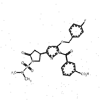 CN(C)S(=O)(=O)N1CC(c2cc(OCc3ccc(F)cc3)n(C(=O)c3cccc(C(=O)O)c3)n2)CC1=O